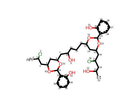 CCCC(Cl)CC1CC(CC(O)CCCC2CC(CC(Cl)CC(O)CC)OC(c3ccccc3O)O2)OC(c2ccccc2O)O1